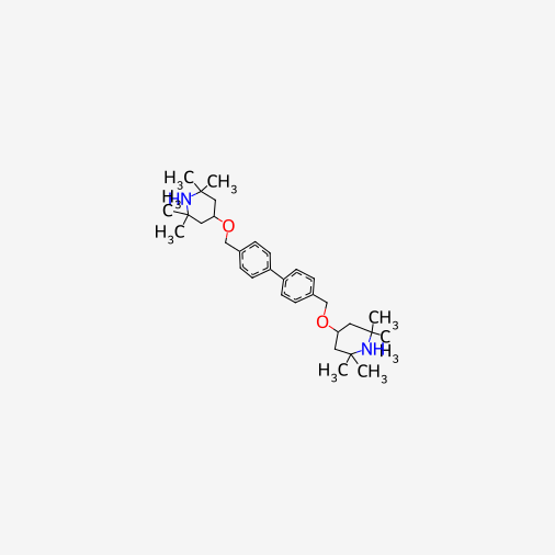 CC1(C)CC(OCc2ccc(-c3ccc(COC4CC(C)(C)NC(C)(C)C4)cc3)cc2)CC(C)(C)N1